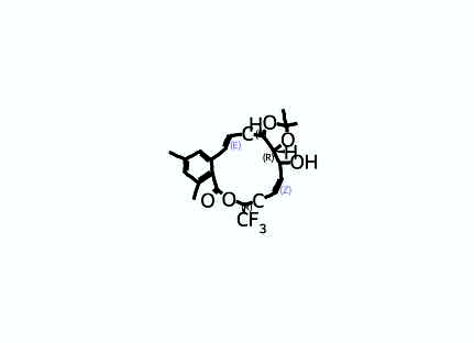 Cc1cc(C)c2c(c1)/C=C/C[C@@H]1OC(C)(C)O[C@@H]1C(O)/C=C\C[C@H](C(F)(F)F)OC2=O